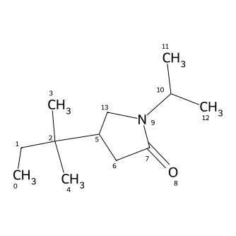 CCC(C)(C)C1CC(=O)N(C(C)C)C1